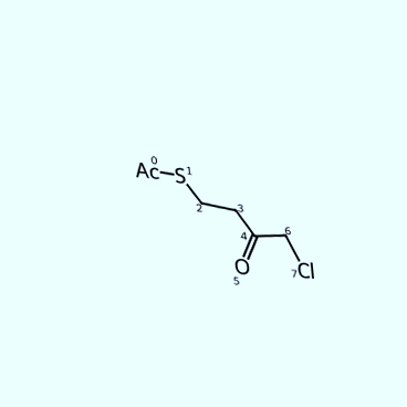 CC(=O)SCCC(=O)CCl